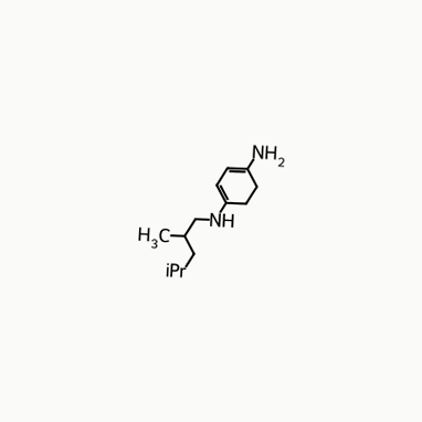 CC(C)CC(C)CNC1=CC=C(N)CC1